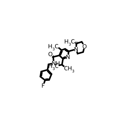 Cc1cc(N2CCOC[C@H]2C)nc(C(C)C)c1C(=O)NCc1ccc(F)cc1